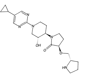 O=C1[C@H](OC[C@@H]2CCCN2)CCN1[C@@H]1CCN(c2ncc(C3CC3)cn2)C[C@H]1O